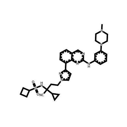 CN1CCN(c2cccc(Nc3ncc4cccc(-c5ccn(CCC(C#N)(NS(=O)(=O)C6CCC6)C6CC6)n5)c4n3)c2)CC1